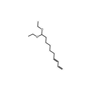 C=CC=CCCCCCC(OCC)OCC